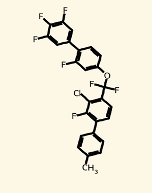 Cc1ccc(-c2ccc(C(F)(F)Oc3ccc(-c4cc(F)c(F)c(F)c4)c(F)c3)c(Cl)c2F)cc1